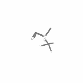 C[SH]([C]=O)C(F)(F)F